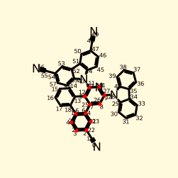 N#Cc1cccc(-c2ccccc2-c2ccccc2-c2ccccc2-c2cc(-n3c4ccccc4c4ccccc43)nc(-n3c4ccc(C#N)cc4c4cc(C#N)ccc43)c2)c1